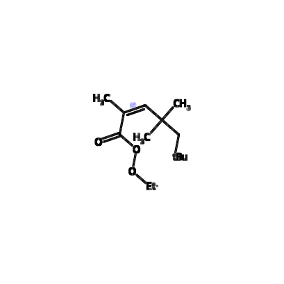 C[CH]OOC(=O)/C(C)=C\C(C)(C)CC(C)(C)C